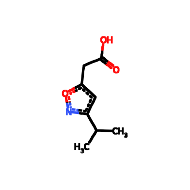 CC(C)c1cc(CC(=O)O)on1